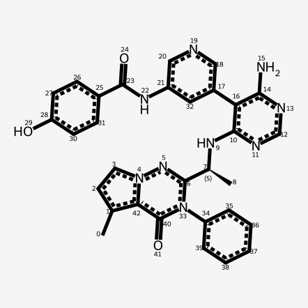 Cc1ccn2nc([C@H](C)Nc3ncnc(N)c3-c3cncc(NC(=O)c4ccc(O)cc4)c3)n(-c3ccccc3)c(=O)c12